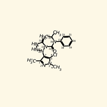 Cc1nn(C)c(Cl)c1N1NNC(=O)N1C(=O)N(c1ccccc1)C(C)C